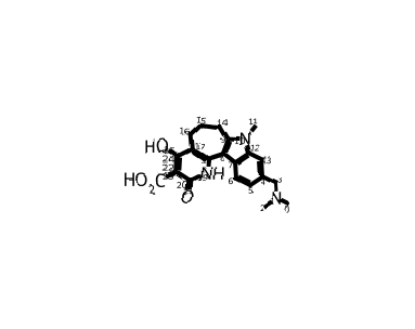 CN(C)Cc1ccc2c3c(n(C)c2c1)CCCc1c-3[nH]c(=O)c(C(=O)O)c1O